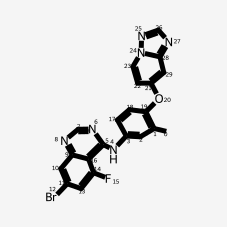 Cc1cc(Nc2ncnc3cc(Br)cc(F)c23)ccc1Oc1ccn2ncnc2c1